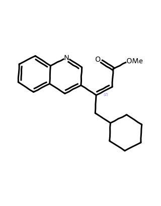 COC(=O)/C=C(/CC1CCCCC1)c1cnc2ccccc2c1